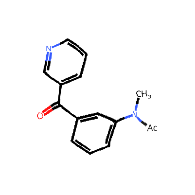 CC(=O)N(C)c1cccc(C(=O)c2cccnc2)c1